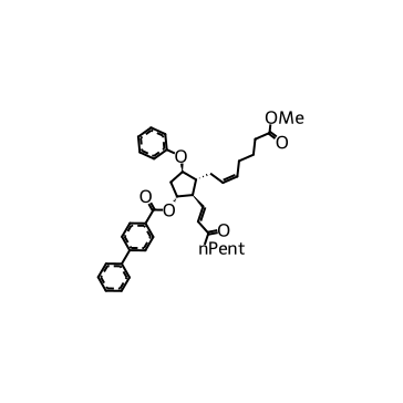 CCCCCC(=O)/C=C/[C@@H]1[C@@H](C/C=C\CCCC(=O)OC)[C@H](Oc2ccccc2)C[C@H]1OC(=O)c1ccc(-c2ccccc2)cc1